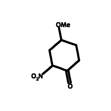 COC1CCC(=O)C([N+](=O)[O-])C1